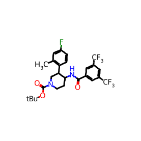 Cc1cc(F)ccc1C1CN(C(=O)OC(C)(C)C)CCC1NC(=O)c1cc(C(F)(F)F)cc(C(F)(F)F)c1